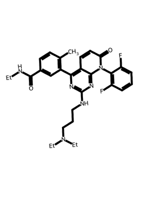 CCNC(=O)c1ccc(C)c(-c2nc(NCCCN(CC)CC)nc3c2ccc(=O)n3-c2c(F)cccc2F)c1